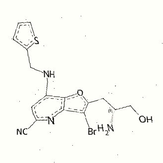 N#Cc1cc(NCc2cccs2)c2oc(C[C@@H](N)CO)c(Br)c2n1